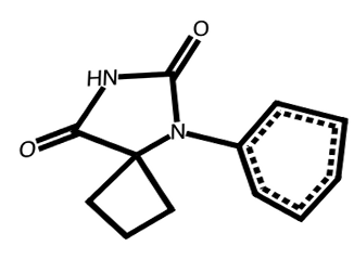 O=C1NC(=O)C2(CCC2)N1c1ccccc1